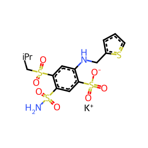 CC(C)CS(=O)(=O)c1cc(NCc2cccs2)c(S(=O)(=O)[O-])cc1S(N)(=O)=O.[K+]